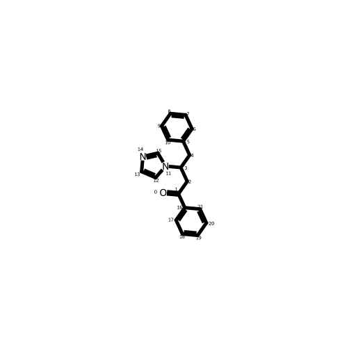 O=C(CC(Cc1ccccc1)n1ccnc1)c1ccccc1